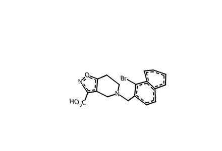 O=C(O)c1noc2c1CN(Cc1ccc3ccccc3c1Br)CC2